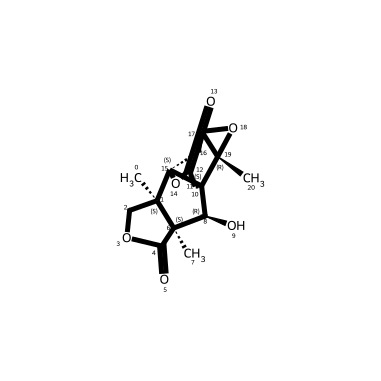 C[C@@]12COC(=O)[C@]1(C)[C@H](O)[C@@]13CC(=O)O[C@@]21CC1O[C@@]13C